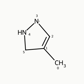 CC1=C[N]NC1